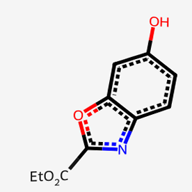 CCOC(=O)c1nc2ccc(O)cc2o1